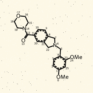 COc1ccc(CN2Cc3ccc(C(=O)N4CCOCC4)cc3C2)c(OC)c1